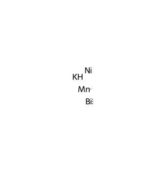 [Bi].[KH].[Mn].[Ni]